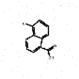 O=C(O)c1ccnc2c(Cl)cccc12